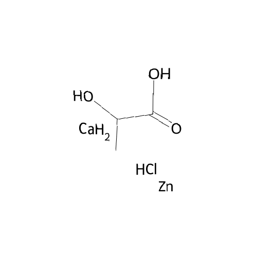 CC(O)C(=O)O.Cl.[CaH2].[Zn]